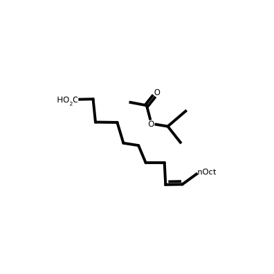 CC(=O)OC(C)C.CCCCCCCC/C=C\CCCCCCCC(=O)O